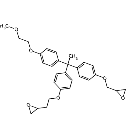 COCCOc1ccc(C(C)(c2ccc(OCCC3CO3)cc2)c2ccc(OCC3CO3)cc2)cc1